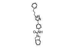 O=C(Nc1ccc(-c2cn(CCCc3ccccc3)nn2)cc1)N1Cc2ccccc2C1